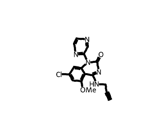 C#CCNc1nc(=O)n(-c2cnccn2)c2cc(Cl)cc(OC)c12